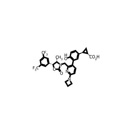 C[C@H]1[C@@H](c2cc(C(F)(F)F)cc(C(F)(F)F)c2)OC(=O)N1Cc1nc(N2CCC2)ccc1-c1cc([C@H]2C[C@@H]2C(=O)O)ccc1O